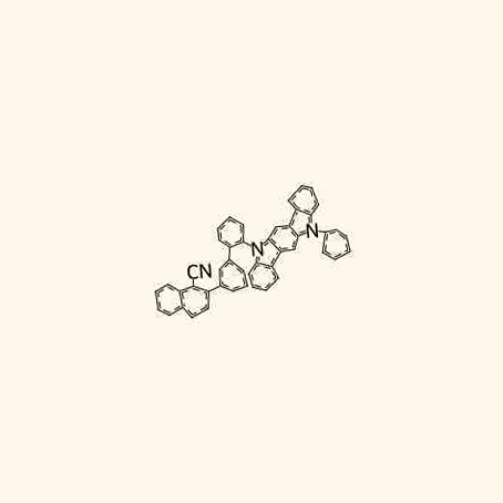 N#Cc1c(-c2cccc(-c3ccccc3-n3c4ccccc4c4cc5c(cc43)c3ccccc3n5-c3ccccc3)c2)ccc2ccccc12